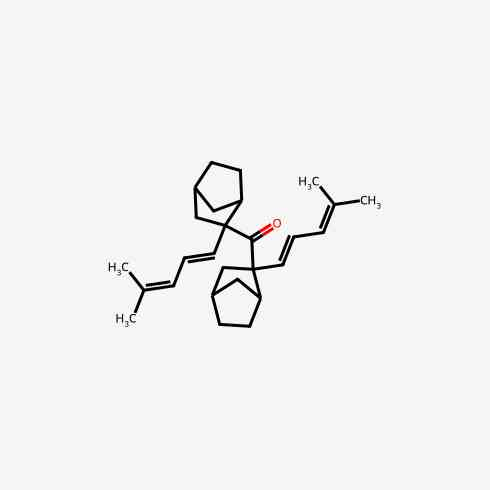 CC(C)=CC=CC1(C(=O)C2(C=CC=C(C)C)CC3CCC2C3)CC2CCC1C2